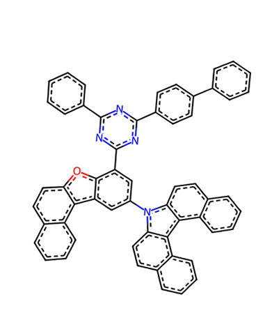 c1ccc(-c2ccc(-c3nc(-c4ccccc4)nc(-c4cc(-n5c6ccc7ccccc7c6c6c7ccccc7ccc65)cc5c4oc4ccc6ccccc6c45)n3)cc2)cc1